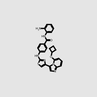 Nc1ccccc1NC(=O)c1ccc(Nc2nc(-c3cnc4cccc(OC5CCC5)n34)cs2)cc1